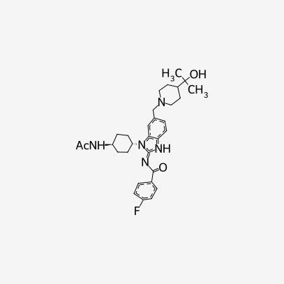 CC(=O)N[C@H]1CC[C@H](n2/c(=N/C(=O)c3ccc(F)cc3)[nH]c3ccc(CN4CCC(C(C)(C)O)CC4)cc32)CC1